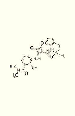 CN(C)C(=O)c1nccc(Nc2c(N[C@H]3c4occc4CCC3(C)C)c(=O)c2=O)c1O